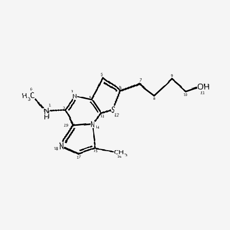 CNc1nc2cc(CCCCO)sc2n2c(C)cnc12